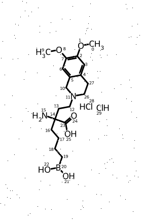 COc1cc2c(cc1OC)CN(CCC(N)(CCCCB(O)O)C(=O)O)CC2.Cl.Cl